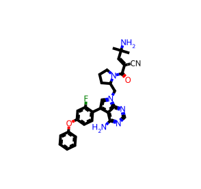 CC(C)(N)C=C(C#N)C(=O)N1CCCC1Cn1cc(-c2ccc(Oc3ccccc3)cc2F)c2c(N)ncnc21